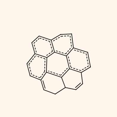 C1=CC2CC=c3ccc4ccc5ccc6ccc1c1c2c3c4c5c61